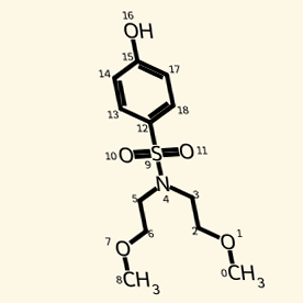 COCCN(CCOC)S(=O)(=O)c1ccc(O)cc1